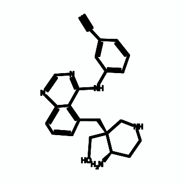 C#Cc1cccc(Nc2ncnc3cccc(C[C@@]4(CO)CNCC[C@H]4N)c23)c1